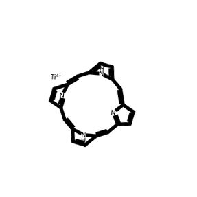 C1=Cc2cc3ccc(cc4nc(cc5ccc(cc1n2)[nH]5)C=C4)[nH]3.[Ti+4]